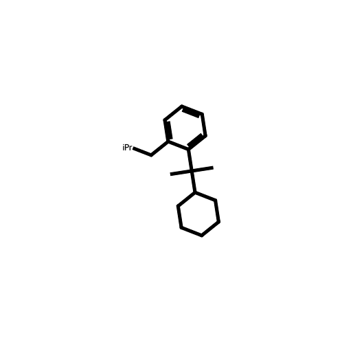 CC(C)Cc1ccccc1C(C)(C)C1CCCCC1